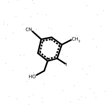 [C-]#[N+]c1cc(C)c(I)c(CO)c1